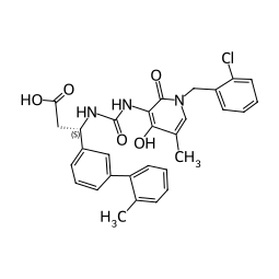 Cc1ccccc1-c1cccc([C@H](CC(=O)O)NC(=O)Nc2c(O)c(C)cn(Cc3ccccc3Cl)c2=O)c1